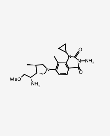 COC[C@@H](N)[C@H]1CN(c2ccc3c(=O)n(N)c(=O)n(C4CC4)c3c2C)C[C@@H]1C